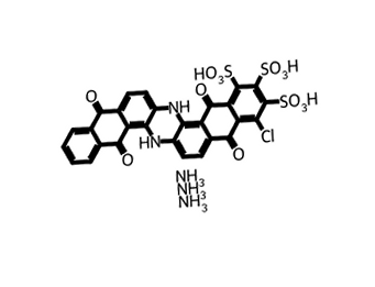 N.N.N.O=c1c2ccccc2c(=O)c2c1ccc1[nH]c3c(ccc4c(=O)c5c(Cl)c(S(=O)(=O)O)c(S(=O)(=O)O)c(S(=O)(=O)O)c5c(=O)c43)[nH]c12